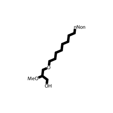 CCCCCCCCCCCCCCCCCOCC(CO)OC